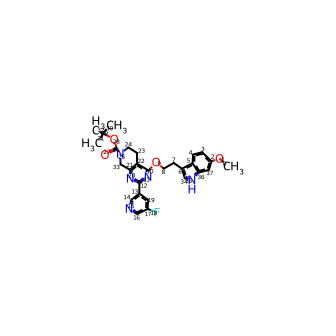 COc1ccc2c(CCOc3nc(-c4cncc(F)c4)nc4c3CCN(C(=O)OC(C)(C)C)C4)c[nH]c2c1